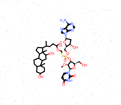 CO[C@H]1C(OP(=O)(OC[C@H]2O[C@@H](n3cnc4c(N)ncnc43)C[C@H]2O)SCOC(O)CCC(C)C2CCC3C4CCC5CC(O)CCC5(C)C4CC(O)C23C)[C@@H](CO)O[C@H]1n1ccc(=O)[nH]c1=O